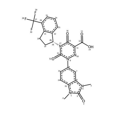 Cn1c(=O)n(C)c2cc(-n3nc(C(=O)O)c(=O)n([C@@H]4CCc5c4cccc5C(F)(F)F)c3=O)ccc21